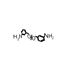 CC(C)(OCc1cccc(N)c1)OCc1cccc(N)c1